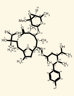 CC[C@@H](O)[C@@](C)(O)[C@@H]1OC(=O)[C@H](C)[C@@H](O[C@H]2CC3(OC)O[C@H]3C(C)O2)[C@H](C)[C@@H](OOC(C)CC(C(C)O)N(C)Cc2ccc(I)cc2)[C@@]2(C)CC(C)C(O2)[C@@H]1C